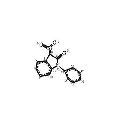 O=C1C(=S(=O)=O)c2ccccc2N1c1ccccc1